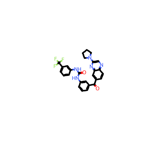 O=C(Nc1cccc(C(=O)c2ccc3ncc(N4CCCC4)nc3c2)c1)Nc1cccc(C(F)(F)F)c1